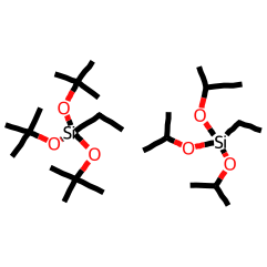 CC[Si](OC(C)(C)C)(OC(C)(C)C)OC(C)(C)C.CC[Si](OC(C)C)(OC(C)C)OC(C)C